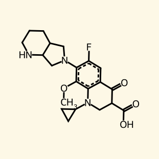 COc1c(N2CC3CCCNC3C2)c(F)cc2c1N(C1CC1)CC(C(=O)O)C2=O